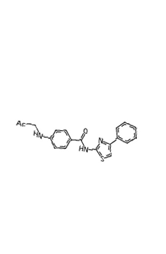 CC(=O)CNc1ccc(C(=O)Nc2nc(-c3ccccc3)cs2)cc1